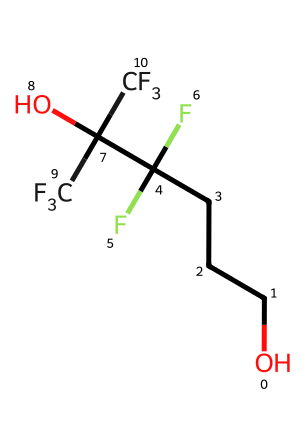 OCCCC(F)(F)C(O)(C(F)(F)F)C(F)(F)F